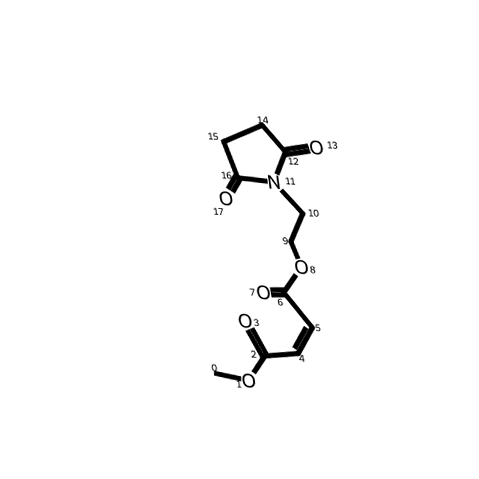 COC(=O)/C=C\C(=O)OCCN1C(=O)CCC1=O